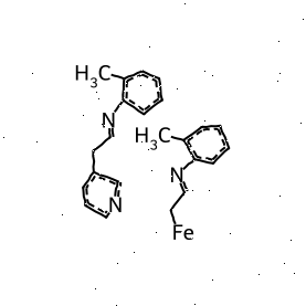 Cc1ccccc1N=CCc1cccnc1.Cc1ccccc1N=C[CH2][Fe]